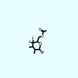 CC(=O)OCC1OC(Br)C(C)C(C)C1(F)F